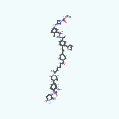 Cc1ccc(NC2CN(C(=O)OC(C)(C)C)C2)cc1C(=O)NC(C)c1ccc(C#CC2CCN(C(=O)CCCCC(=O)N3CCC(c4ccc5c(c4)n(C)c(=O)n5C4CCC(=O)NC4=O)CC3)CC2)c(-c2cccs2)c1